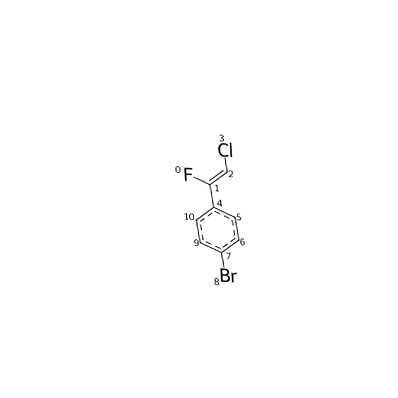 FC(=CCl)c1ccc(Br)cc1